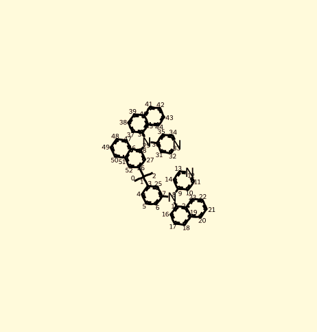 CC(C)(c1cccc(N(c2ccncc2)c2cccc3ccccc23)c1)c1cc(N(c2ccncc2)c2cccc3ccccc23)c2ccccc2c1